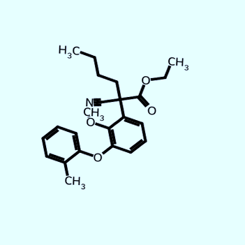 CCCCC(C#N)(C(=O)OCC)c1cccc(Oc2ccccc2C)c1OC